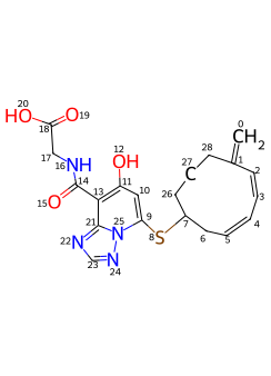 C=C1/C=C\C=C/CC(Sc2cc(O)c(C(=O)NCC(=O)O)c3ncnn23)CCC1